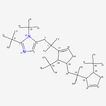 CC(C)(Cc1cnc(C(C)(C)C)n1C(C)(C)C)C1=CCC(CC(C)(C)C2C=CCC2C(C)(C)C)C1C(C)(C)C